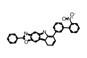 O=[N+]([O-])c1ccccc1-c1cccc(C2=C3N=c4cc5nc(-c6ccccc6)oc5cc4=C3CC=C2)c1